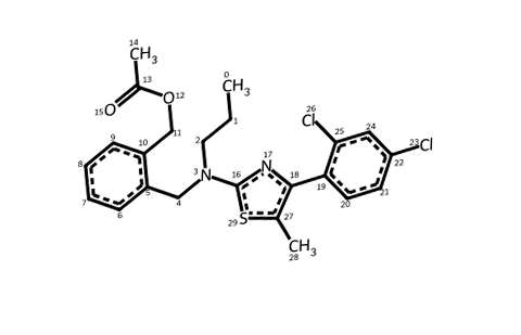 CCCN(Cc1ccccc1COC(C)=O)c1nc(-c2ccc(Cl)cc2Cl)c(C)s1